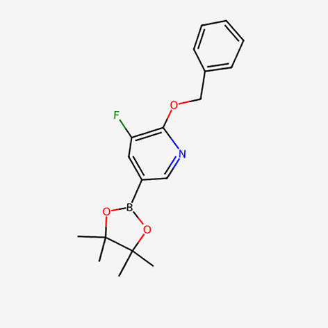 CC1(C)OB(c2cnc(OCc3ccccc3)c(F)c2)OC1(C)C